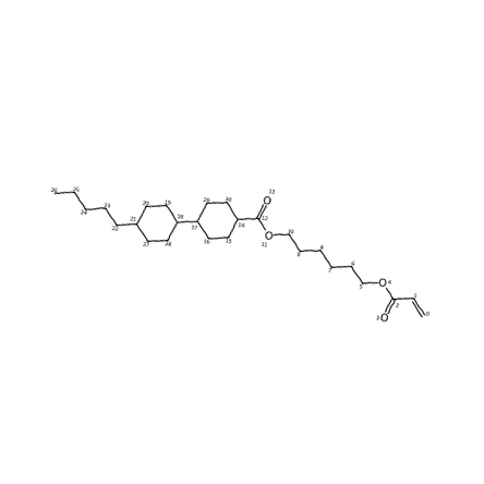 C=CC(=O)OCCCCCCOC(=O)C1CCC(C2CCC(CCCCC)CC2)CC1